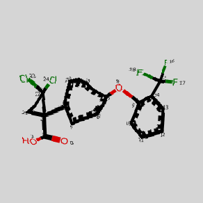 O=C(O)C1(c2ccc(Oc3ccccc3C(F)(F)F)cc2)CC1(Cl)Cl